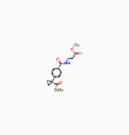 COC(=O)C1(c2ccc(C(=O)NCCC(=O)OC(C)(C)C)cc2)CC1